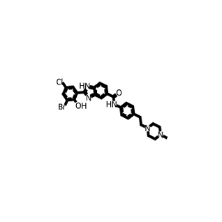 CN1CCN(CCc2ccc(NC(=O)c3ccc4[nH]c(-c5cc(Cl)cc(Br)c5O)nc4c3)cc2)CC1